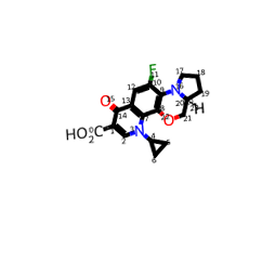 O=C(O)c1cn(C2CC2)c2c3c(c(F)cc2c1=O)N1CCC[C@H]1CO3